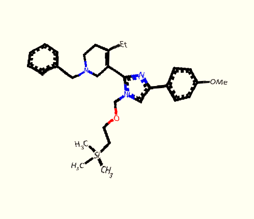 CCC1=C(c2nc(-c3ccc(OC)cc3)cn2COCC[Si](C)(C)C)CN(Cc2ccccc2)CC1